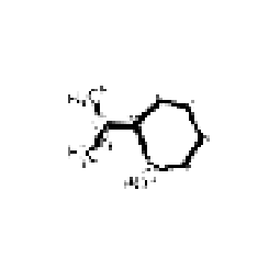 C[SiH](C)C1CCCCO1.Cl